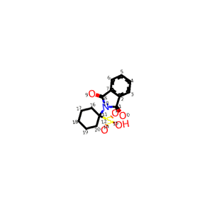 O=C1c2ccccc2C(=O)N1C1(S(=O)(=O)O)CCCCC1